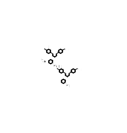 CCc1ccc(-c2cc(Sc3ccccc3OC)cc(-c3ccc(CC)cc3)[o+]2)cc1.CCc1ccc(-c2cc(Sc3ccccc3OC)cc(-c3ccc(CC)cc3)[o+]2)cc1.[O-]B([O-])F